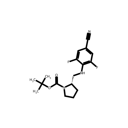 CC(C)(C)OC(=O)N1CCC[C@H]1CNc1c(F)cc(C#N)cc1F